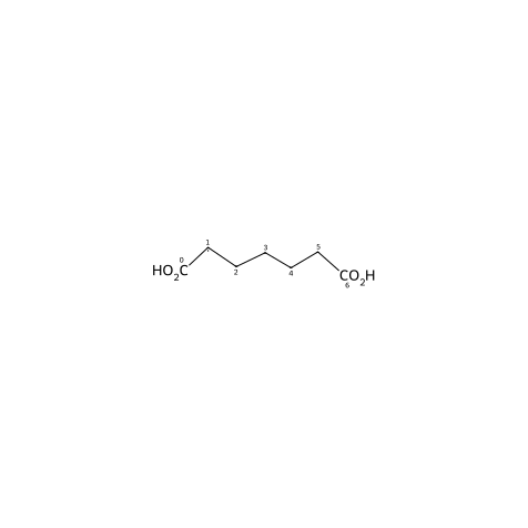 O=C(O)[CH]CCCCC(=O)O